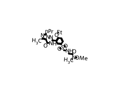 CCCc1nc(C)c2c(=O)[nH]c(-c3cc(S(=O)(=O)CNCC(=O)N(C)OC)ccc3OCC)nn12